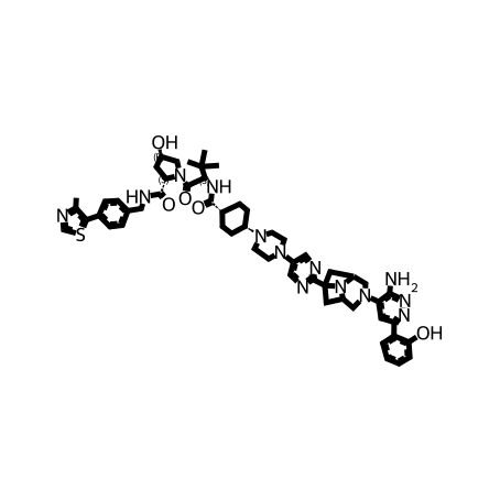 Cc1ncsc1-c1ccc(CNC(=O)[C@@H]2C[C@@H](O)CN2C(=O)[C@@H](NC(=O)[C@H]2CC[C@@H](N3CCN(c4cnc(C56CC7CN(c8cc(-c9ccccc9O)nnc8N)CC(C5)N76)nc4)CC3)CC2)C(C)(C)C)cc1